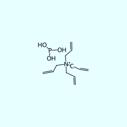 C=CC[N+](CC=C)(CC=C)CC=C.OP(O)O